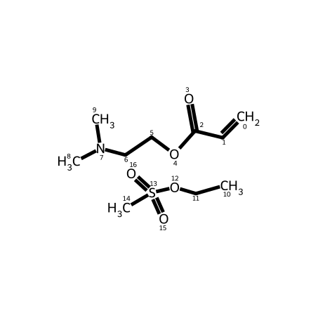 C=CC(=O)OCCN(C)C.CCOS(C)(=O)=O